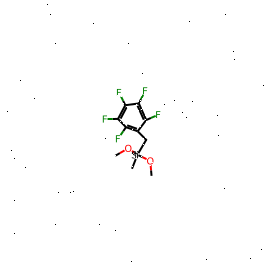 CO[Si](C)(Cc1c(F)c(F)c(F)c(F)c1F)OC